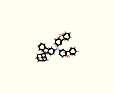 C1=C(N(c2ccc3c(c2)-c2ccccc2C32C3CC4CC5CC2C53C4)c2ccc3oc4ccccc4c3c2)CCc2oc3ccccc3c21